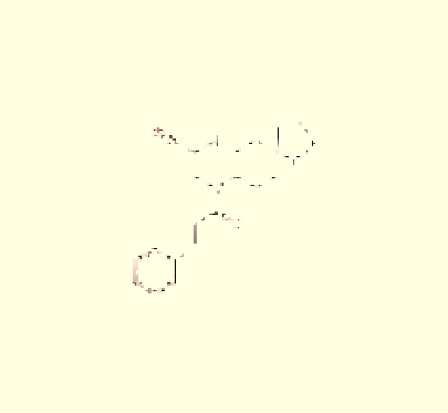 C#CCN(C)[C@@H]1C[C@@]2(CCCO2)CC[C@H]1N(C)C(=O)COc1ccccc1